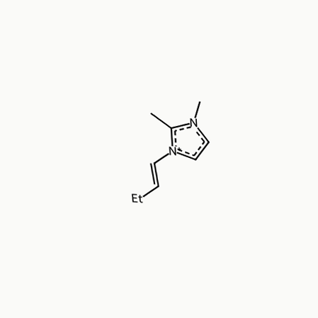 CCC=C[n+]1ccn(C)c1C